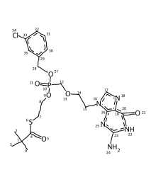 CC(C)(C)C(=O)SCCOP(=O)(COCCn1cnc2c(=O)[nH]c(N)nc21)OCc1cccc(Cl)c1